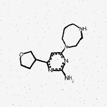 Nc1nc(C2CCOC2)cc(N2CCCNCC2)n1